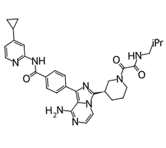 CC(C)CNC(=O)C(=O)N1CCC[C@@H](c2nc(-c3ccc(C(=O)Nc4cc(C5CC5)ccn4)cc3)c3c(N)nccn23)C1